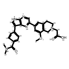 COc1cc(-c2cnc3[nH]cc(-c4ccc(C(=O)N(C)C)cc4)c3n2)cc2c1CN(CC(=O)O)CC2